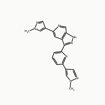 Cn1cc(-c2cc3c(-c4cccc(-c5cnn(C)c5)n4)n[nH]c3cn2)cn1